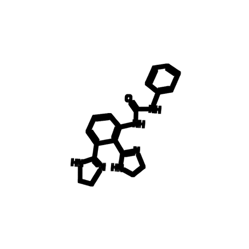 O=C(Nc1ccccc1)Nc1cccc(C2=NCCN2)c1C1=NCCN1